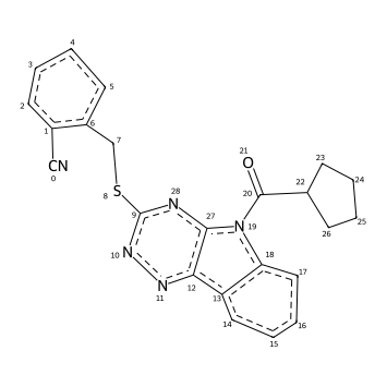 N#Cc1ccccc1CSc1nnc2c3ccccc3n(C(=O)C3CCCC3)c2n1